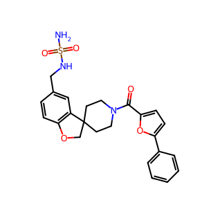 NS(=O)(=O)NCc1ccc2c(c1)C1(CCN(C(=O)c3ccc(-c4ccccc4)o3)CC1)CO2